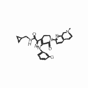 CN1CCc2ccc(N3CCc4c(C(=O)NCC5CC5)nn(-c5cccc(Cl)c5)c4C3=O)nc2C1